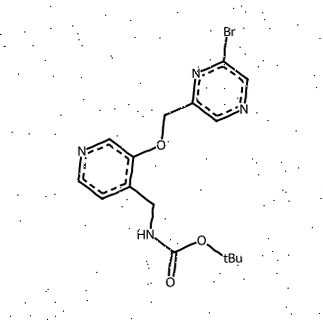 CC(C)(C)OC(=O)NCc1ccncc1OCc1cncc(Br)n1